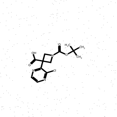 CC(C)(C)OC(=O)N1CC(C(=O)O)(c2nccnc2Cl)C1